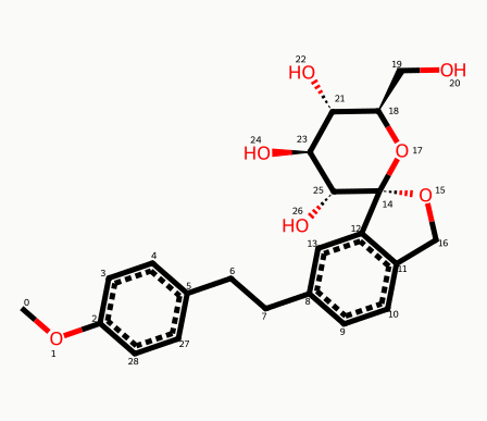 COc1ccc(CCc2ccc3c(c2)[C@]2(OC3)O[C@H](CO)[C@@H](O)[C@H](O)[C@H]2O)cc1